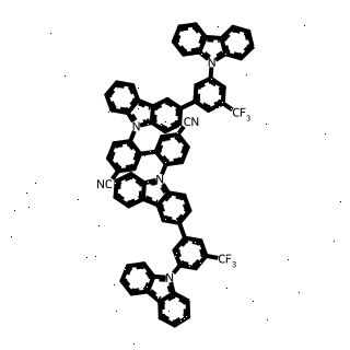 N#Cc1ccc(-n2c3ccccc3c3cc(-c4cc(-n5c6ccccc6c6ccccc65)cc(C(F)(F)F)c4)ccc32)c(-c2cc(C#N)ccc2-n2c3ccccc3c3cc(-c4cc(-n5c6ccccc6c6ccccc65)cc(C(F)(F)F)c4)ccc32)c1